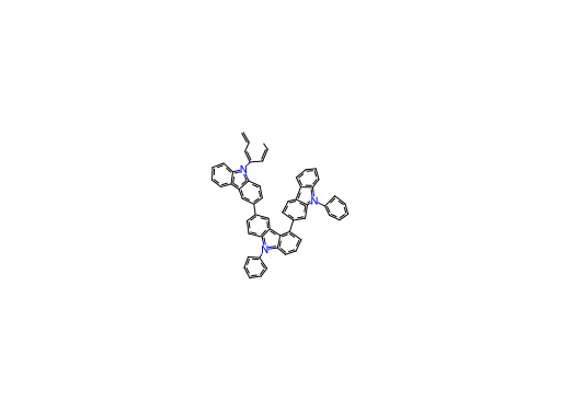 C=C/C=C(\C=C/C)n1c2ccccc2c2cc(-c3ccc4c(c3)c3c(-c5ccc6c7ccccc7n(-c7ccccc7)c6c5)cccc3n4-c3ccccc3)ccc21